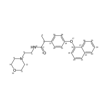 CC(C(=O)NCCN1CCOCC1)c1ccc(Oc2cccc3ccccc23)cc1